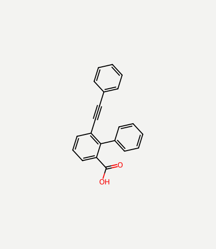 O=C(O)c1cccc(C#Cc2ccccc2)c1-c1ccccc1